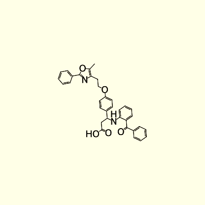 Cc1oc(-c2ccccc2)nc1CCOc1ccc(C(CC(=O)O)Nc2ccccc2C(=O)c2ccccc2)cc1